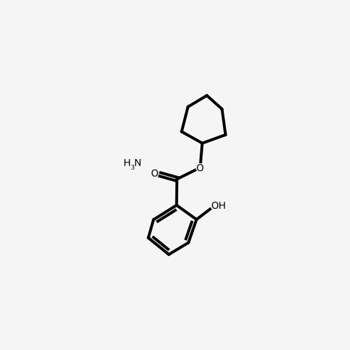 N.O=C(OC1CCCCC1)c1ccccc1O